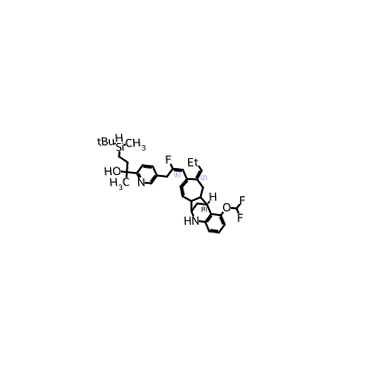 CC/C=C1/CC2C(C=C=C1/C=C(/F)Cc1ccc(C(C)(O)CC[SiH](C)C(C)(C)C)nc1)C1C[C@H]2c2c(cccc2OC(F)F)N1